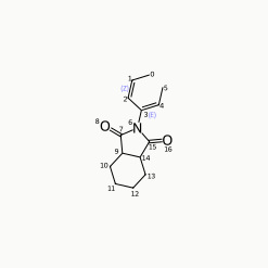 C/C=C\C(=C/C)N1C(=O)C2CCCCC2C1=O